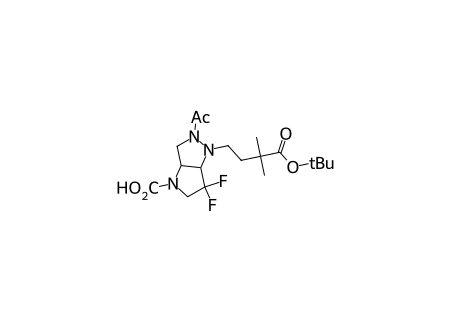 CC(=O)N1CC2C(N1CCC(C)(C)C(=O)OC(C)(C)C)C(F)(F)CN2C(=O)O